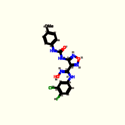 COc1ccc(NC(=O)Nc2nonc2/C(=N/O)Nc2ccc(F)c(Cl)c2)cc1